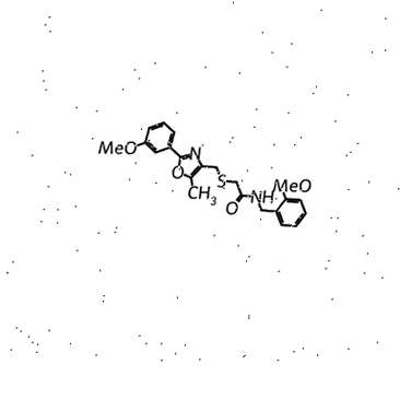 COc1cccc(-c2nc(CSCC(=O)NCc3ccccc3OC)c(C)o2)c1